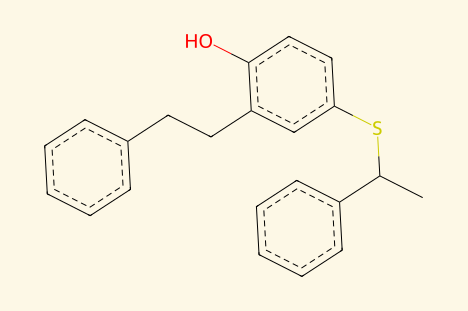 CC(Sc1ccc(O)c(CCc2ccccc2)c1)c1ccccc1